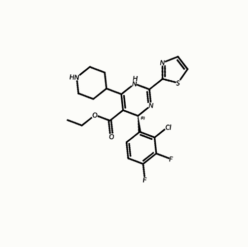 CCOC(=O)C1=C(C2CCNCC2)NC(c2nccs2)=N[C@H]1c1ccc(F)c(F)c1Cl